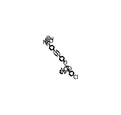 CCC(C)n1ncn(-c2ccc(N3CCN(c4ccc(OC[C@@H]5CO[C@@](Cn6cccn6)(c6ccc(Cl)cc6)O5)cc4)CC3)cc2)c1=O